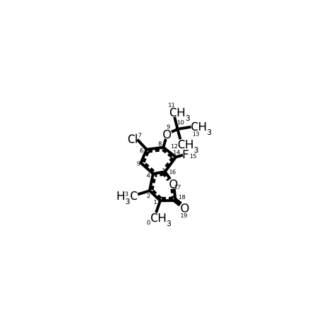 Cc1c(C)c2cc(Cl)c(OC(C)(C)C)c(F)c2oc1=O